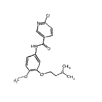 COc1ccc(NC(=O)c2ccc(Cl)nc2)cc1OCCN(C)C